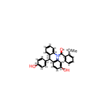 COc1ccccc1C(=O)Nc1ccccc1C(c1ccc(O)cc1)c1ccc(O)cc1